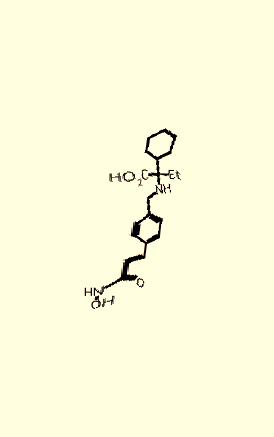 CC[C@@](NCc1ccc(C=CC(=O)NO)cc1)(C(=O)O)C1CCCCC1